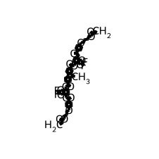 C=CC(=O)OCCCCOc1ccc(C(=O)Cc2ccc(OC(=O)c3ccc4c(c3)C(C)c3cc(C(=O)Oc5ccc(OC(=O)c6ccc(OCCCOC(=O)C=C)cc6)c6c5OC(F)(F)O6)ccc3-4)c3c2OC(F)(F)O3)cc1